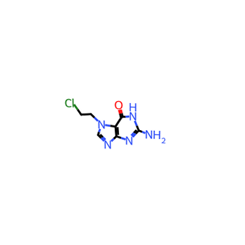 Nc1nc2ncn(CCCl)c2c(=O)[nH]1